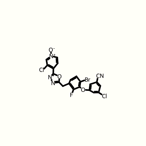 N#Cc1cc(Cl)cc(Oc2c(Br)ccc(Cc3nnc(-c4cc[n+]([O-])cc4Cl)o3)c2F)c1